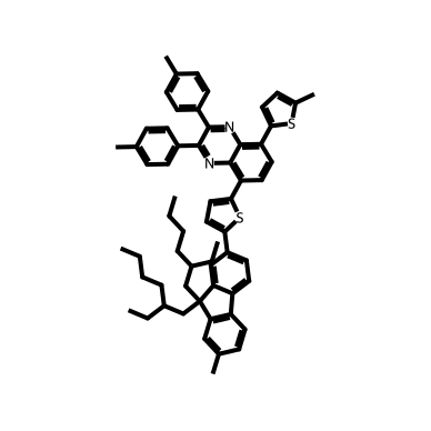 CCCCC(CC)CC1(CC(CC)CCCC)c2cc(C)ccc2-c2ccc(-c3ccc(-c4ccc(-c5ccc(C)s5)c5nc(-c6ccc(C)cc6)c(-c6ccc(C)cc6)nc45)s3)cc21